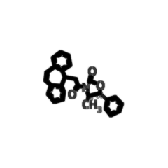 C[C@@H]1[C@H](c2ccccc2)OC(=O)N1C(=O)CC1c2ccccc2C=Cc2ccccc21